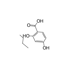 CCCC.O=C(O)c1ccc(O)cc1O